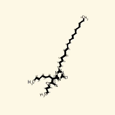 CCCCCCCCCCCCCCCCCCSc1nc(Cl)nc(C(CCCCCC)C(=S)OCCCC)n1